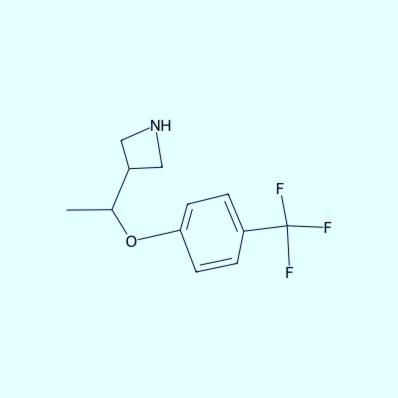 CC(Oc1ccc(C(F)(F)F)cc1)C1CNC1